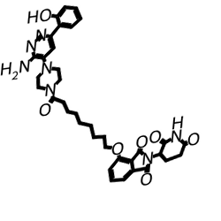 Nc1nnc(-c2ccccc2O)cc1N1CCN(C(=O)CCCCCCCCOc2cccc3c2C(=O)N(C2CCC(=O)NC2=O)C3=O)CC1